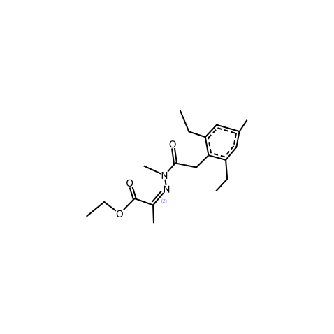 CCOC(=O)/C(C)=N\N(C)C(=O)Cc1c(CC)cc(C)cc1CC